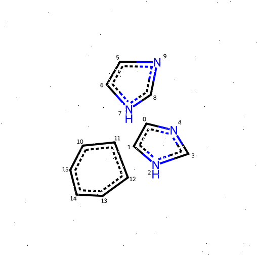 c1c[nH]cn1.c1c[nH]cn1.c1ccccc1